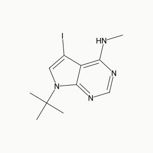 CNc1ncnc2c1c(I)cn2C(C)(C)C